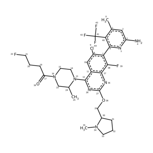 Cc1cc(N)nc(-c2c(Cl)cc3c(N4CCN(C(=O)CCCF)CC4C)nc(OCC4CCCN4C)nc3c2F)c1C(F)(F)F